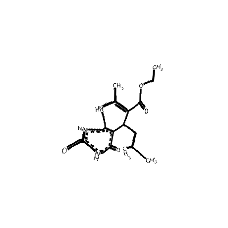 CCOC(=O)C1=C(C)Nc2[nH]c(=O)[nH]c(=O)c2C1CC(C)C